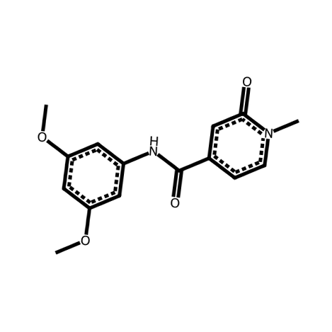 COc1cc(NC(=O)c2ccn(C)c(=O)c2)cc(OC)c1